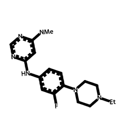 CCN1CCN(c2ccc(Nc3cc(NC)ncn3)cc2F)CC1